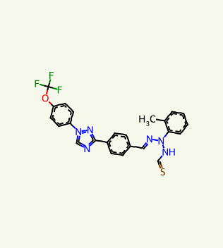 Cc1ccccc1N(/N=C/c1ccc(-c2ncn(-c3ccc(OC(F)(F)F)cc3)n2)cc1)NC=S